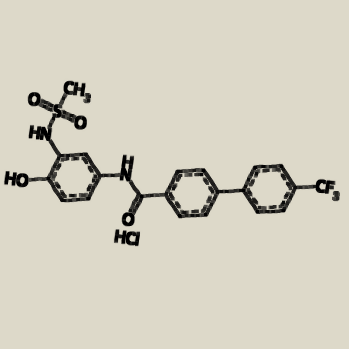 CS(=O)(=O)Nc1cc(NC(=O)c2ccc(-c3ccc(C(F)(F)F)cc3)cc2)ccc1O.Cl